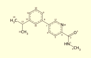 CNC(=O)c1ccc(-c2cccc(C(C)C)c2)cn1